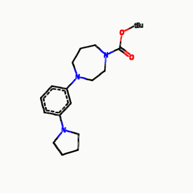 CC(C)(C)OC(=O)N1CCCN(c2cccc(N3CCCC3)c2)CC1